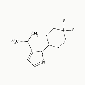 CC(C)c1ccnn1C1CCC(F)(F)CC1